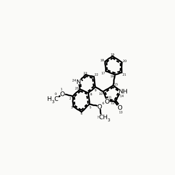 COc1ccc(OC)c2c(-c3oc(=O)[nH]c3-c3ccccc3)ccnc12